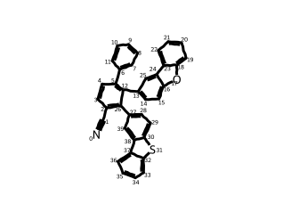 N#Cc1ccc(-c2ccccc2)c(-c2ccc3oc4ccccc4c3c2)c1-c1ccc2sc3ccccc3c2c1